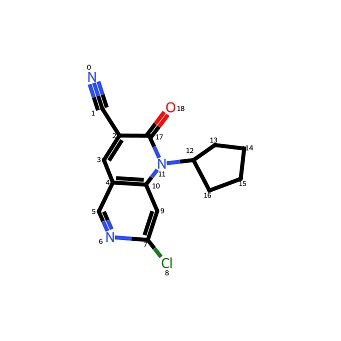 N#Cc1cc2cnc(Cl)cc2n(C2CCCC2)c1=O